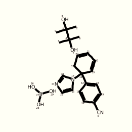 CC(C)(O)C(C)(C)O.N#Cc1ccc(C2(n3ccnc3)C=CC=CC2)cc1.OB(O)O